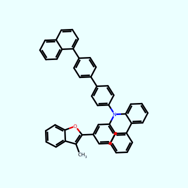 Cc1c(-c2cccc(N(c3ccc(-c4ccc(-c5cccc6ccccc56)cc4)cc3)c3ccccc3-c3ccccc3)c2)oc2ccccc12